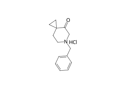 Cl.O=C1CN(Cc2ccccc2)CCC12CC2